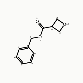 O=C(OCc1ccccc1)C1COC1